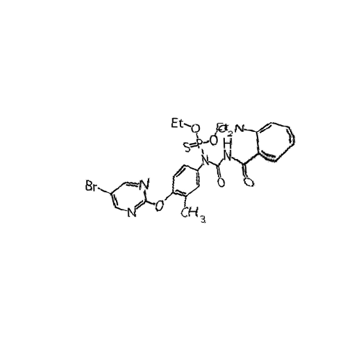 CCOP(=S)(OCC)N(C(=O)NC(=O)c1ccccc1[N+](=O)[O-])c1ccc(Oc2ncc(Br)cn2)c(C)c1